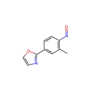 Cc1cc(-c2ncco2)ccc1N=O